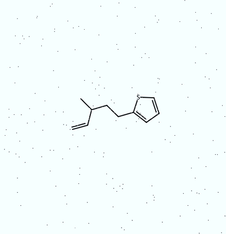 [CH]=CC(C)CCc1cccs1